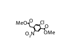 COC(=O)Cc1cc(Cl)c(C(=O)OC)cc1[N+](=O)[O-]